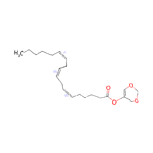 CCCCC/C=C\C/C=C\C/C=C\CCCCC(=O)OC1=COCOC1